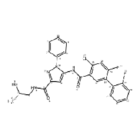 C[C@H](O)CNC(=O)c1cc(NC(=O)c2cc(-c3ncccc3F)c(F)cc2Cl)n(-c2ccccc2)n1